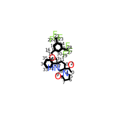 CC(=O)C1(N2CCCC2=O)CC[C@@](CO[C@H](C)c2cc(C(F)(F)F)cc(C(F)(F)F)c2)(c2ccccc2)NC1